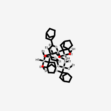 CCO[Si](OCC)(OCCS(CCC1CC2CCC1C2)(SSS(S)(SS)C1([Si](OCC)(OCC)OCC)CC2CCC1(CC)C2)SS(S)(SS)C1([Si](OCC)(OCC)OCC)CC2CCC1(CC)C2)C1(CC)CC2CCC1C2